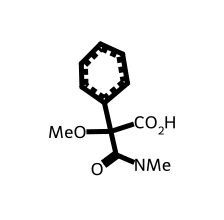 CNC(=O)C(OC)(C(=O)O)c1ccccc1